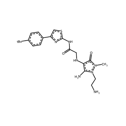 Cn1c(=O)c(NCC(=O)Nc2nc(-c3ccc(C(C)(C)C)cc3)cs2)c(N)n1CCN